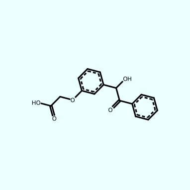 O=C(O)COc1cccc(C(O)C(=O)c2ccccc2)c1